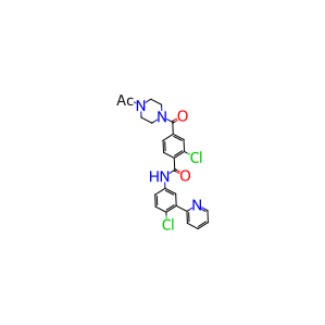 CC(=O)N1CCN(C(=O)c2ccc(C(=O)Nc3ccc(Cl)c(-c4ccccn4)c3)c(Cl)c2)CC1